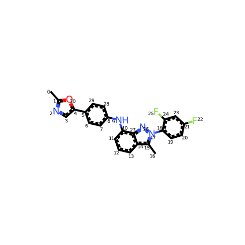 Cc1ncc(-c2ccc(Nc3cccc4c(C)n(-c5ccc(F)cc5F)nc34)cc2)o1